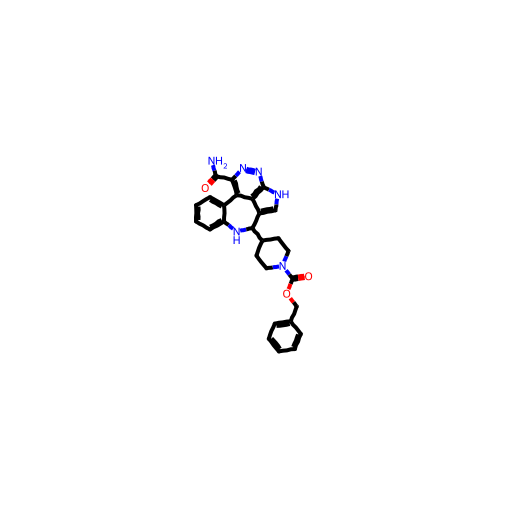 NC(=O)c1nnc2[nH]cc3c2c1-c1ccccc1NC3C1CCN(C(=O)OCc2ccccc2)CC1